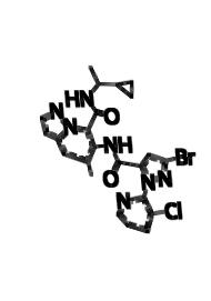 Cc1cc2ccnn2c(C(=O)NC(C)C2CC2)c1NC(=O)c1cc(Br)nn1-c1ncccc1Cl